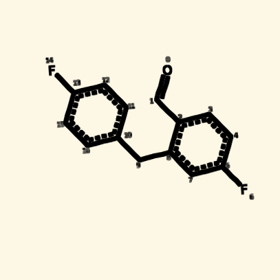 O=Cc1ccc(F)cc1Cc1ccc(F)cc1